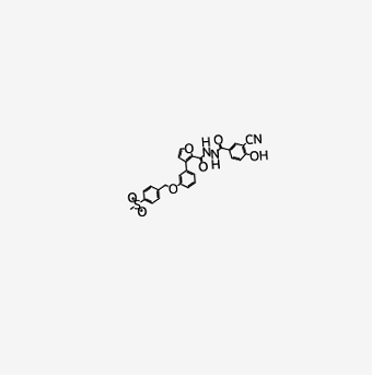 CS(=O)(=O)c1ccc(COc2cccc(-c3ccoc3C(=O)NNC(=O)c3ccc(O)c(C#N)c3)c2)cc1